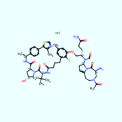 CC(=O)N1CCC2=CC[C@@H](N(C=O)[C@@H](CCC(N)=O)COc3cc(C)cc(CCCC(=O)N[C@H](C(=O)N4C[C@H](O)C[C@H]4C(=O)N[C@@H](C)c4ccc(-c5scnc5C)cc4)C(C)(C)C)c3F)N2C(=O)[C@@H](N)C1.Cl